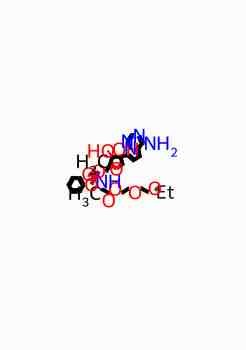 CCOCCOCCOC(=O)[C@H](C)NP(=O)(OC[C@@]1(C)OC[C@](O)(c2ccc3c(N)ncnn23)[C@@H]1O)Oc1ccccc1